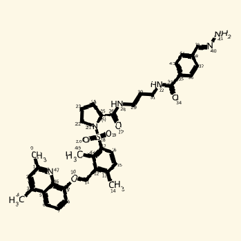 Cc1cc(C)c2cccc(OCc3c(C)ccc(S(=O)(=O)N4CCC[C@H]4C(=O)NCCCNC(=O)c4ccc(C=NN)cc4)c3C)c2n1